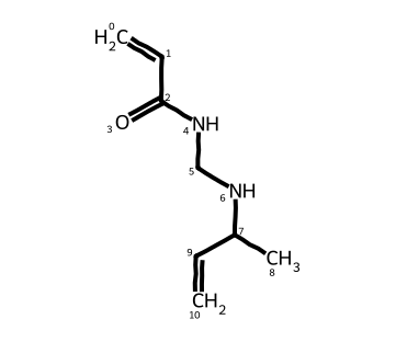 C=CC(=O)NCNC(C)C=C